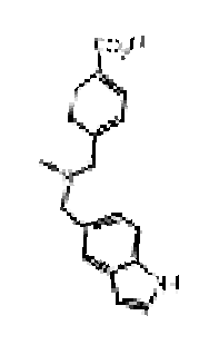 CN(CC1=CC=C(C(=O)O)CC1)Cc1ccc2[nH]ccc2c1